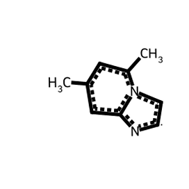 Cc1cc(C)n2c[c]nc2c1